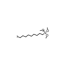 CO[Si](CCCCCCCCCI)(OC)OC